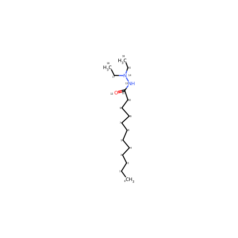 CCCCCCCCCCCC(=O)NN(CC)CC